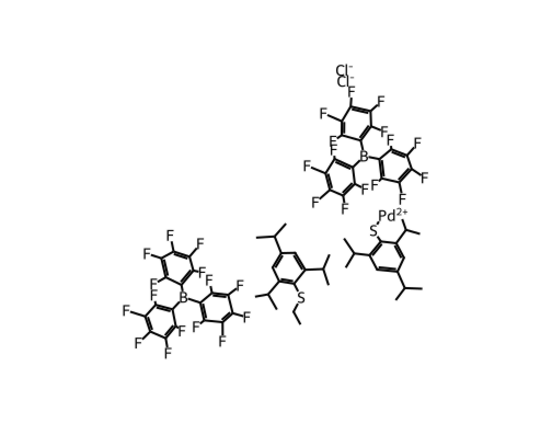 CC(C)c1cc(C(C)C)c([S][Pd+2])c(C(C)C)c1.CCSc1c(C(C)C)cc(C(C)C)cc1C(C)C.Fc1c(F)c(F)c(B(c2c(F)c(F)c(F)c(F)c2F)c2c(F)c(F)c(F)c(F)c2F)c(F)c1F.Fc1c(F)c(F)c(B(c2c(F)c(F)c(F)c(F)c2F)c2c(F)c(F)c(F)c(F)c2F)c(F)c1F.[Cl-].[Cl-]